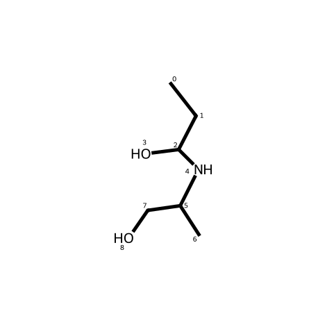 CCC(O)NC(C)CO